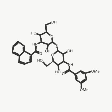 COc1cc(OC)cc(C(=O)NC2C(O)[C@@H](CO)O[C@@H](SC3OC(CO)C(O)C(NC(=O)c4cccc5ccccc45)C3O)C2O)c1